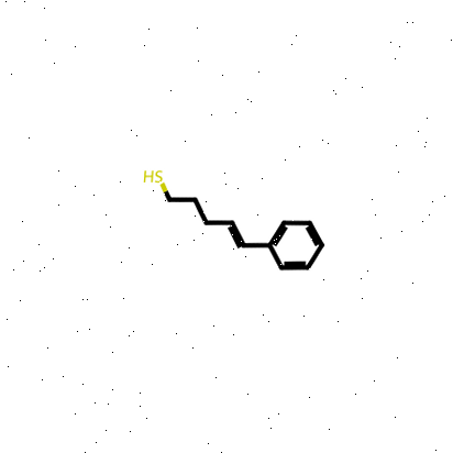 SCCC/C=C/c1ccccc1